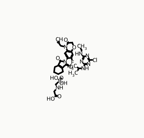 C#CCN1C(=O)COc2cc(F)c(N3C(=O)C4=C(CCCC4)C3=O)cc21.CCNc1nc(Cl)nc(NC(C)C)n1.O=C(O)CNCP(=O)(O)O